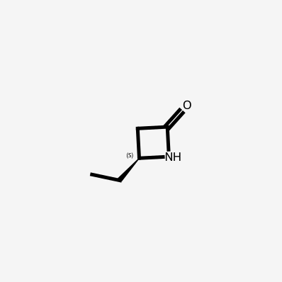 CC[C@H]1CC(=O)N1